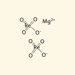 [Mg+2].[O]=[Re](=[O])(=[O])[O-].[O]=[Re](=[O])(=[O])[O-]